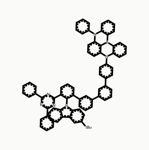 CC(C)(C)c1ccc2c(c1)c1ccccc1n2-c1c(-c2cccc(-c3cccc(-c4ccc(N5c6ccccc6B6c7ccccc7N(c7ccccc7)c7cccc5c76)cc4)c3)c2)cccc1-c1nc(-c2ccccc2)nc(-c2ccccc2)n1